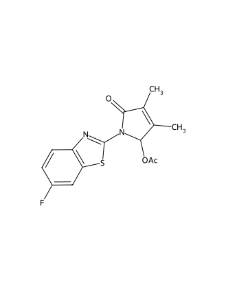 CC(=O)OC1C(C)=C(C)C(=O)N1c1nc2ccc(F)cc2s1